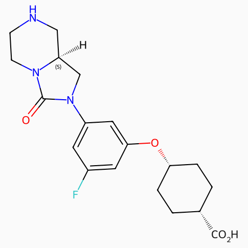 O=C1N(c2cc(F)cc(O[C@H]3CC[C@@H](C(=O)O)CC3)c2)C[C@@H]2CNCCN12